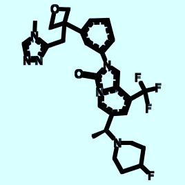 C[C@@H](c1cc(C(F)(F)F)c2cn(-c3cccc(C4(Cc5nncn5C)COC4)c3)c(=O)n2c1)N1CCC(F)CC1